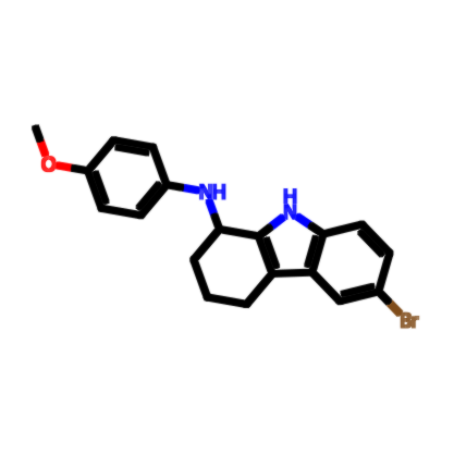 COc1ccc(NC2CCCc3c2[nH]c2ccc(Br)cc32)cc1